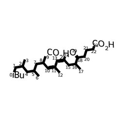 CCC(C)CC(C)CC(C)CC(C)C=C(C)C=C(CC(C)C(=O)CCCC(=O)O)C(=O)O